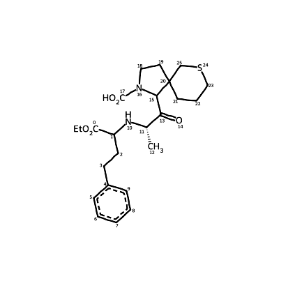 CCOC(=O)C(CCc1ccccc1)N[C@@H](C)C(=O)C1N(C(=O)O)CCC12CCCSC2